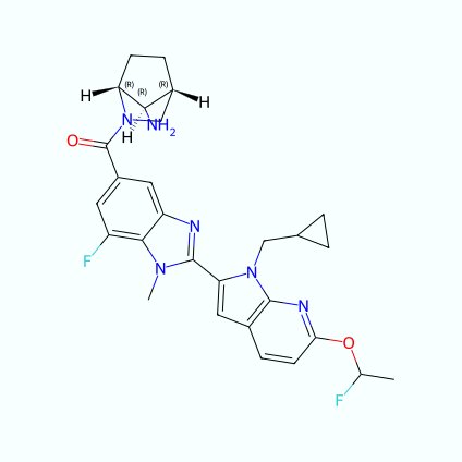 CC(F)Oc1ccc2cc(-c3nc4cc(C(=O)N5C[C@H]6CC[C@@H]5[C@@H]6N)cc(F)c4n3C)n(CC3CC3)c2n1